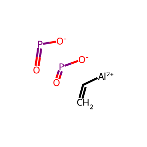 C=[CH][Al+2].O=P[O-].O=P[O-]